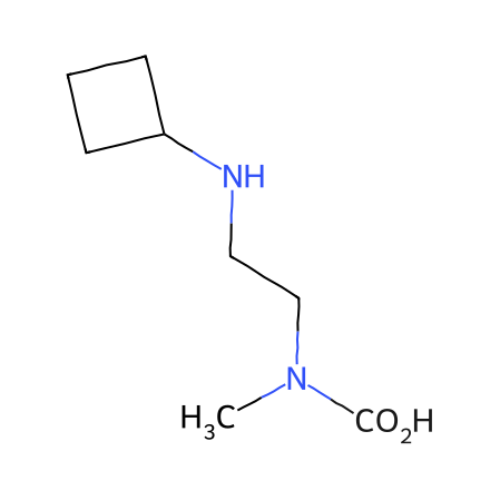 CN(CCNC1CCC1)C(=O)O